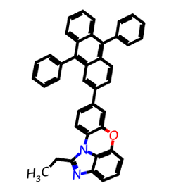 CCc1nc2cccc3c2n1-c1ccc(-c2ccc4c(-c5ccccc5)c5ccccc5c(-c5ccccc5)c4c2)cc1O3